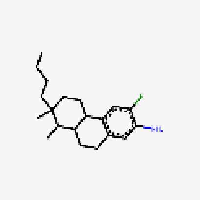 CCCCC1(C)CCC2c3cc(F)c(N)cc3CCC2C1C